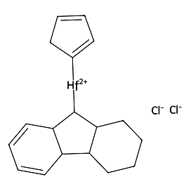 C1=CC[C]([Hf+2][CH]2C3C=CC=CC3C3CCCCC32)=C1.[Cl-].[Cl-]